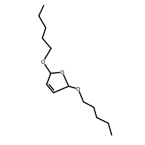 CCCCCOC1C=CC(OCCCCC)O1